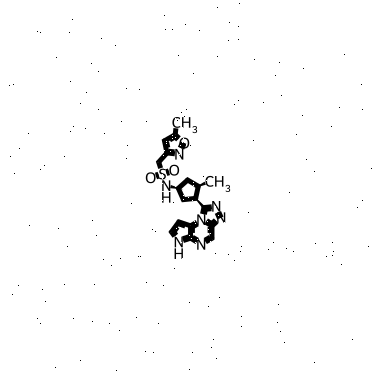 Cc1cc(CS(=O)(=O)N[C@H]2C[C@@H](C)[C@@H](c3nnc4cnc5[nH]ccc5n34)C2)no1